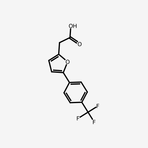 O=C(O)Cc1ccc(-c2ccc(C(F)(F)F)cc2)o1